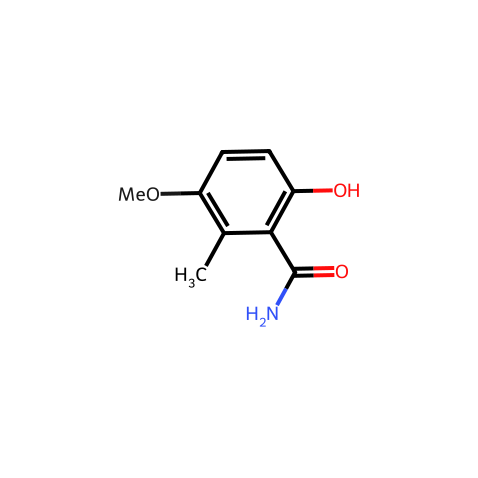 COc1ccc(O)c(C(N)=O)c1C